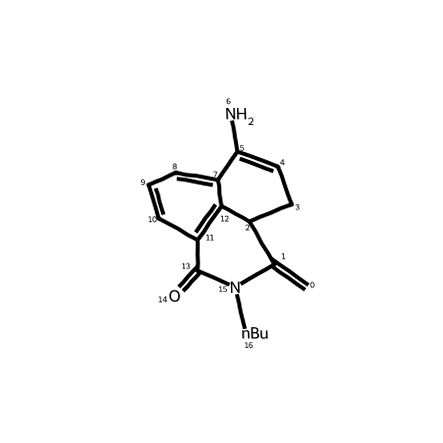 C=C1C2CC=C(N)c3cccc(c32)C(=O)N1CCCC